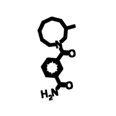 CC1CCCCCCN(C(=O)c2cccc(C(N)=O)c2)C1